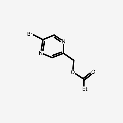 CCC(=O)OCc1cnc(Br)cn1